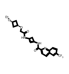 CCO[C@H]1C[C@@H](OCC(=O)NC23CC(NC(=O)c4ccc5cc(C(F)(F)F)ccc5n4)(C2)C3)C1